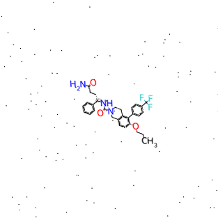 CCCOc1ccc2c(c1-c1ccc(C(F)(F)F)cc1)CCN(C(=O)N[C@@H](CCC(N)=O)c1ccccc1)C2